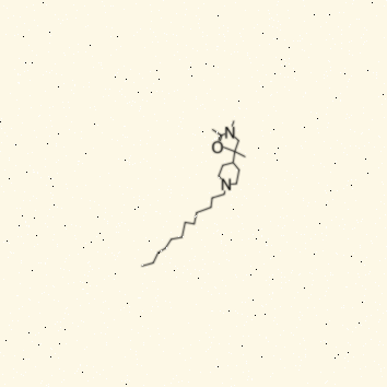 CCCCCCCCCCCCN1CCC(C(C)(C)CN(C)C(C)=O)CC1